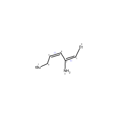 CC/C=C(N)\C=C/CC(C)(C)C